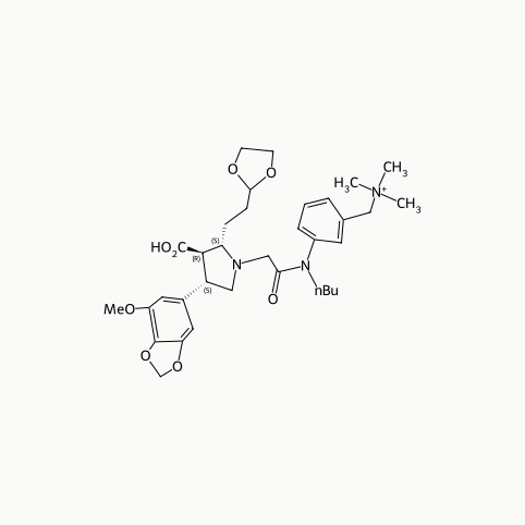 CCCCN(C(=O)CN1C[C@H](c2cc(OC)c3c(c2)OCO3)[C@@H](C(=O)O)[C@@H]1CCC1OCCO1)c1cccc(C[N+](C)(C)C)c1